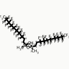 C[Si](C)(CCC(F)(F)C(F)(F)C(F)(F)C(F)(F)C(F)(F)C(F)(F)C(F)(F)C(F)(F)F)O[Si](C)(C)CCC(F)(F)C(F)(F)C(F)(F)C(F)(F)C(F)(F)C(F)(F)C(F)(F)C(F)(F)F